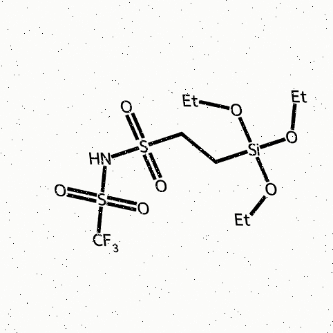 CCO[Si](CCS(=O)(=O)NS(=O)(=O)C(F)(F)F)(OCC)OCC